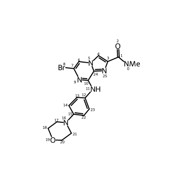 CNC(=O)c1cn2cc(Br)nc(Nc3ccc(N4CCOCC4)cc3)c2n1